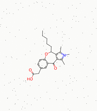 CCCCCC1Oc2ccc(CC(=O)O)cc2C(=O)c2c1c(C)n(C)c2C